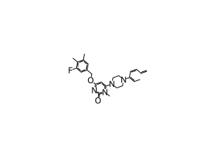 C=C/C=C\C(=C/C)N1CCN(c2cc(OCc3cc(C)c(C)c(F)c3)nc(=O)n2C)CC1